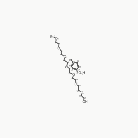 CCOCCOCCOCCOCCOCCOCCOCCO.Cc1ccc(S(=O)(=O)O)cc1